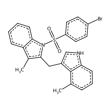 Cc1c(Cc2c[nH]c3cccc(C)c23)n(S(=O)(=O)c2ccc(Br)cc2)c2ccccc12